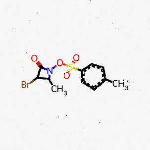 Cc1ccc(S(=O)(=O)ON2C(=O)C(Br)C2C)cc1